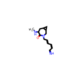 CNC1CC2CC2CN(C/C=C/C=C\C=N)C1=O